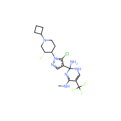 CNC1=NC(N)(c2cnn([C@@H]3CCN(C4CCC4)C[C@H]3F)c2Cl)NC=C1C(F)(F)F